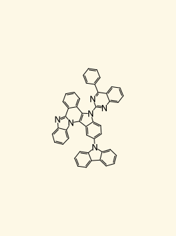 c1ccc(-c2nc(-n3c4ccc(-n5c6ccccc6c6ccccc65)cc4c4c3c3ccccc3c3nc5ccccc5n34)nc3ccccc23)cc1